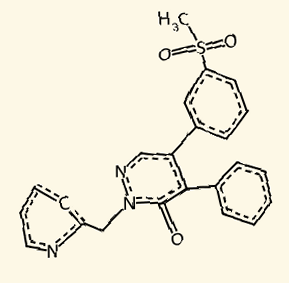 CS(=O)(=O)c1cccc(-c2cnn(Cc3ccccn3)c(=O)c2-c2ccccc2)c1